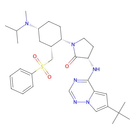 CC(C)N(C)[C@@H]1CC[C@H](N2CC[C@H](Nc3ncnn4cc(C(C)(C)C)cc34)C2=O)[C@H](CS(=O)(=O)c2ccccc2)C1